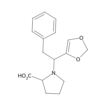 O=C(O)C1CCCN1C(Cc1ccccc1)C1=COCO1